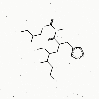 CCN(C(=O)OCC(COC(C)=O)OC(C)=O)C(=O)C(Cc1ccsc1)CC(SS)C(CCN)SC